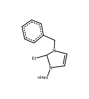 CCCCCCN1C=CN(Cc2ccccc2)C1CC